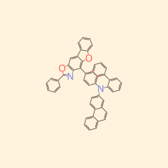 c1ccc(-c2nc3c(-c4ccc(N(c5ccc6c(ccc7ccccc76)c5)c5ccccc5-c5ccccc5)cc4)c4oc5ccccc5c4cc3o2)cc1